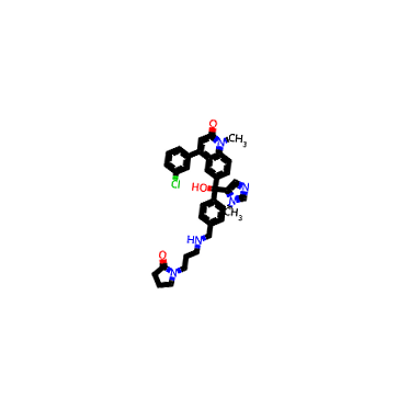 Cn1cncc1C(O)(c1ccc(CNCCCN2CCCC2=O)cc1)c1ccc2c(c1)c(-c1cccc(Cl)c1)cc(=O)n2C